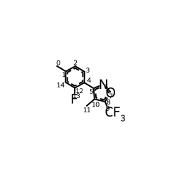 Cc1ccc(-c2noc(C(F)(F)F)c2C)c(F)c1